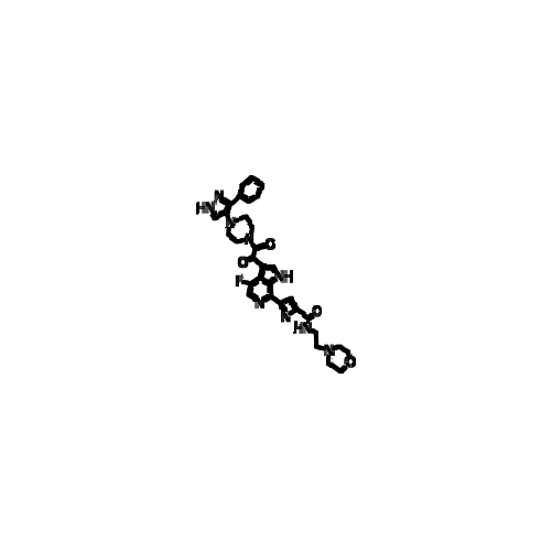 O=C(NCCN1CCOCC1)C1=CC(c2ncc(F)c3c(C(=O)C(=O)N4CCN(c5c[nH]nc5-c5ccccc5)CC4)c[nH]c23)=N1